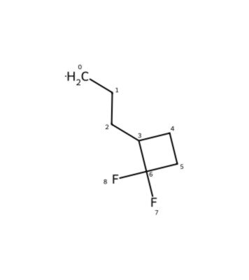 [CH2]CCC1CCC1(F)F